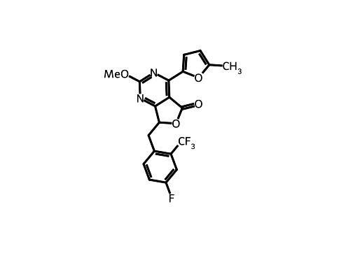 COc1nc(-c2ccc(C)o2)c2c(n1)C(Cc1ccc(F)cc1C(F)(F)F)OC2=O